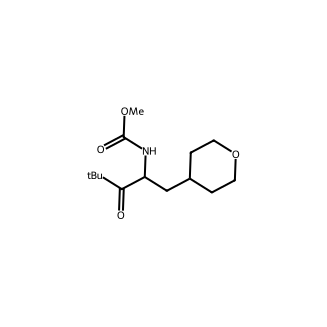 COC(=O)NC(CC1CCOCC1)C(=O)C(C)(C)C